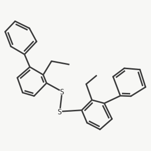 CCc1c(SSc2cccc(-c3ccccc3)c2CC)cccc1-c1ccccc1